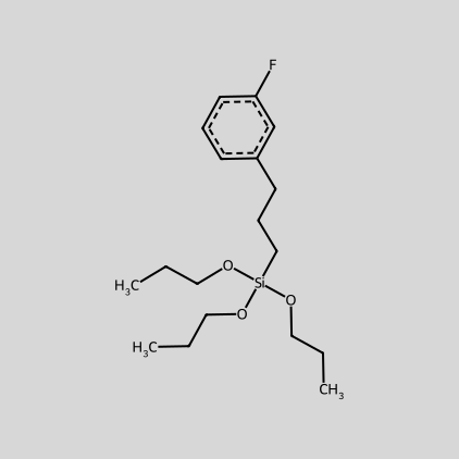 CCCO[Si](CCCc1cccc(F)c1)(OCCC)OCCC